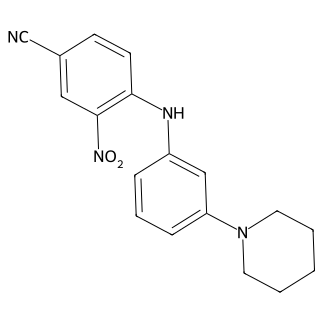 N#Cc1ccc(Nc2cccc(N3CCCCC3)c2)c([N+](=O)[O-])c1